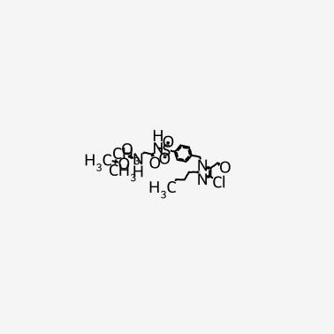 CCCCc1nc(Cl)c(C=O)n1Cc1ccc(S(=O)(=O)NC(=O)CNC(=O)OC(C)(C)C)cc1